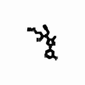 C#CCN(C(=P)CCSC)c1cn(-c2cncc(F)c2)nc1C